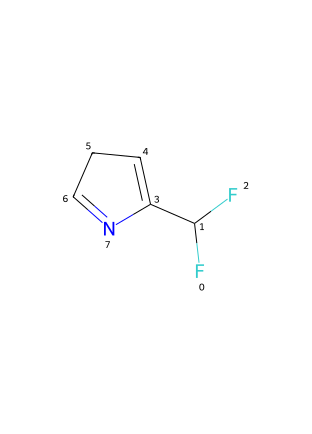 FC(F)C1=CCC=N1